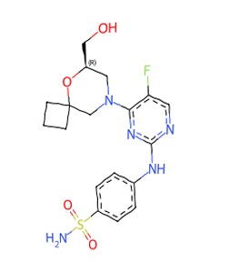 NS(=O)(=O)c1ccc(Nc2ncc(F)c(N3C[C@H](CO)OC4(CCC4)C3)n2)cc1